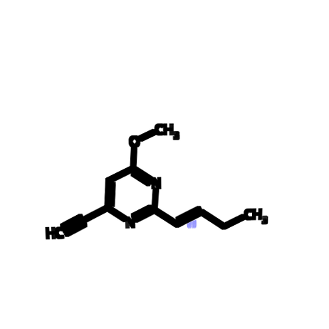 C#Cc1cc(OC)nc(/C=C/CC)n1